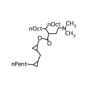 CCCCCCCCC(CCCCCCCC)C(CCN(C)C)C(=O)OC1CC1CC1CC1CCCCC